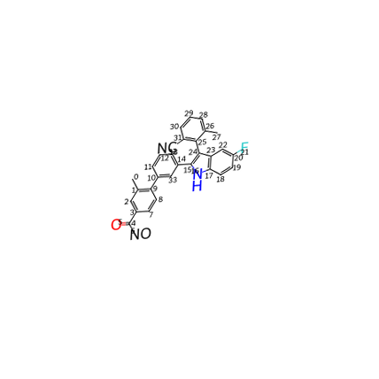 Cc1cc(C(=O)N=O)ccc1-c1cccc(-c2[nH]c3ccc(F)cc3c2-c2c(C)cccc2C#N)c1